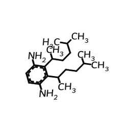 CC(C)CCC(C)c1c(N)ccc(N)c1C(C)CCC(C)C